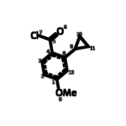 COc1ccc(C(=O)Cl)c(C2CC2)c1